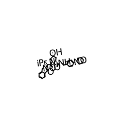 CC(C)[C@@H](C(=O)N1C[C@H](O)C[C@H]1C(=O)NCc1ccc(N2CCOCC2)cc1)N1Cc2ccccc2C1=O